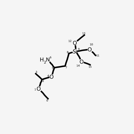 COC(C)OC(N)CC[Si](OC)(OC)OC